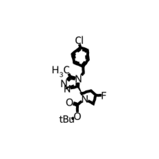 Cc1nnc([C@H]2CC(F)CN2C(=O)OC(C)(C)C)n1Cc1ccc(Cl)cc1